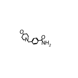 NC(=O)c1ccc(CN2CCC(=O)CC2)cc1